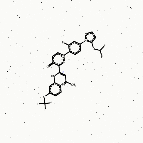 CC(=N)/C=C(\Nc1cccc(OC(F)(F)F)c1)c1nn(-c2ccc(-n3nccc3OC(F)F)cc2F)ccc1=O